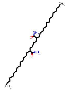 CCCCCCCCCCCCCCC(CCCCC(CCCCCCCCCCCCCC)C(N)=O)C(N)=O